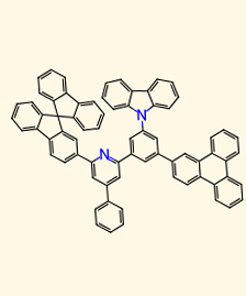 c1ccc(-c2cc(-c3cc(-c4ccc5c6ccccc6c6ccccc6c5c4)cc(-n4c5ccccc5c5ccccc54)c3)nc(-c3ccc4c(c3)C3(c5ccccc5-c5ccccc53)c3ccccc3-4)c2)cc1